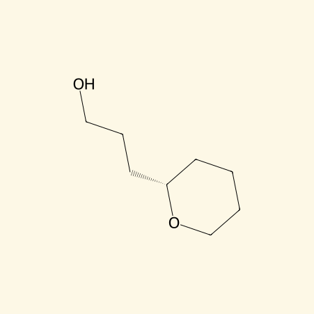 OCCC[C@@H]1CCCCO1